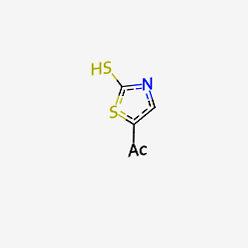 CC(=O)c1cnc(S)s1